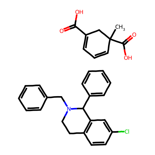 CC1(C(=O)O)C=CC=C(C(=O)O)C1.Clc1ccc2c(c1)C(c1ccccc1)N(Cc1ccccc1)CC2